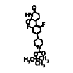 CC(C)(C)OC(=O)N1CCC(c2cc(F)c(C3CCC(=O)NC3=O)c(F)c2)CC1